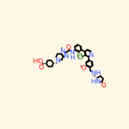 COc1cc(-c2nccc(-c3cccc(NC(=O)c4nc5c(n4C)CCN(C[C@H]4CC[C@H](C(=O)O)CC4)C5)c3Cl)c2Cl)ccc1CNC[C@@H]1CCC(=O)N1